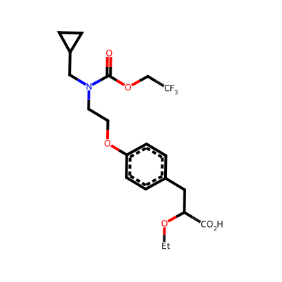 CCOC(Cc1ccc(OCCN(CC2CC2)C(=O)OCC(F)(F)F)cc1)C(=O)O